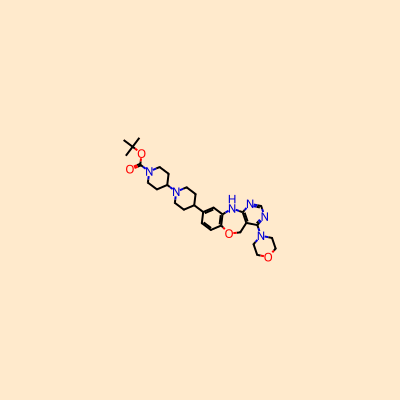 CC(C)(C)OC(=O)N1CCC(N2CCC(c3ccc4c(c3)Nc3ncnc(N5CCOCC5)c3CO4)CC2)CC1